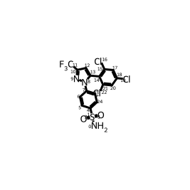 NS(=O)(=O)c1ccc(-n2nc(C(F)(F)F)cc2-c2c(Cl)cc(Cl)cc2Cl)cc1